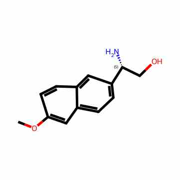 COc1ccc2cc([C@H](N)CO)ccc2c1